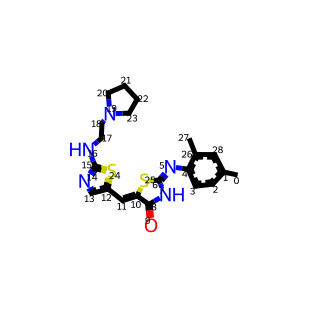 Cc1ccc(N=C2NC(=O)C(=Cc3cnc(NCCN4CCCC4)s3)S2)c(C)c1